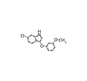 COc1cccc(Oc2c[nH]c3cc(Cl)ccc23)c1